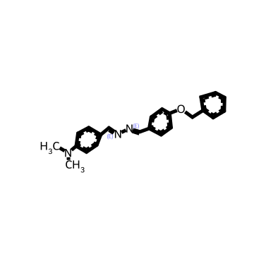 CN(C)c1ccc(/C=N/N=C/c2ccc(OCc3ccccc3)cc2)cc1